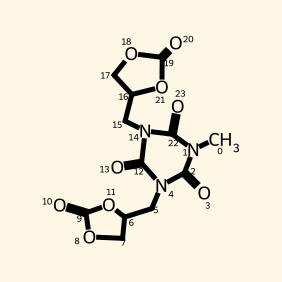 Cn1c(=O)n(CC2COC(=O)O2)c(=O)n(CC2COC(=O)O2)c1=O